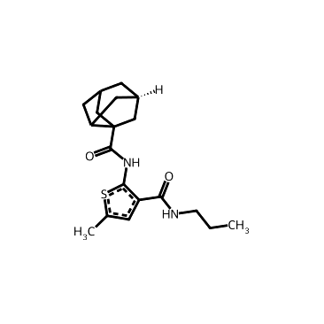 CCCNC(=O)c1cc(C)sc1NC(=O)C12CC3CC1C[C@@H](C3)C2